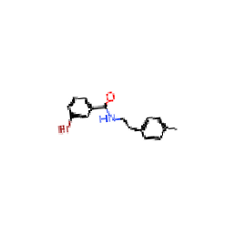 Cc1ccc(CCNC(=O)c2cccc(Br)c2)cc1